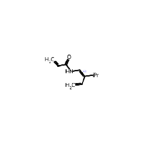 C=CC(=O)N/C=C(\C=C)C(C)C